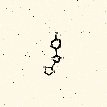 Cl.O=[N+]([O-])c1ccc(-c2ccc(C3=NCCN3)o2)cc1